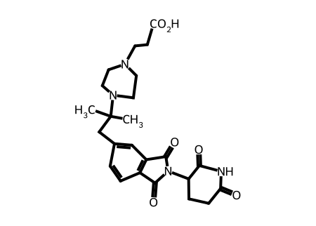 CC(C)(Cc1ccc2c(c1)C(=O)N(C1CCC(=O)NC1=O)C2=O)N1CCN(CCC(=O)O)CC1